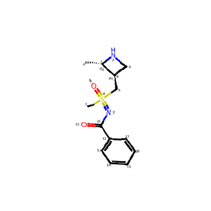 C[C@@H]1NC[C@H]1CS(C)(=O)=NC(=O)c1ccccc1